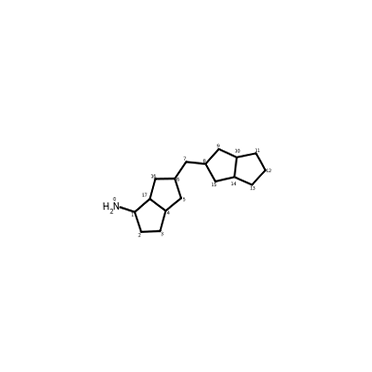 NC1CCC2CC(CC3CC4CCCC4C3)CC12